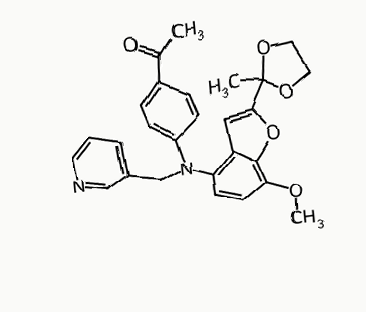 COc1ccc(N(Cc2cccnc2)c2ccc(C(C)=O)cc2)c2cc(C3(C)OCCO3)oc12